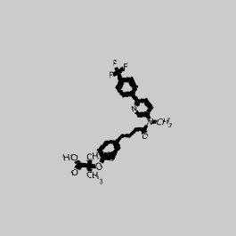 CN(C(=O)CCCc1ccc(OC(C)(C)C(=O)O)cc1)c1ccc(-c2ccc(C(F)(F)F)cc2)nc1